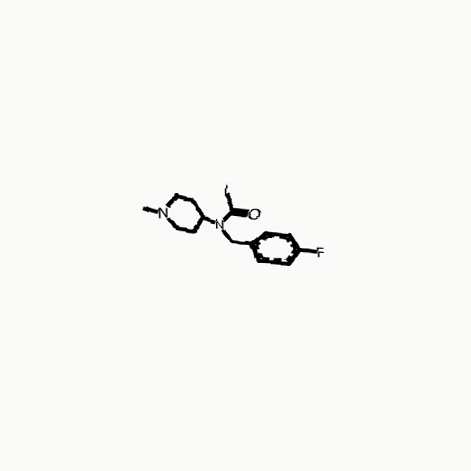 CN1CCC(N(Cc2ccc(F)cc2)C(=O)I)CC1